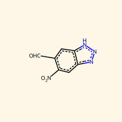 O=Cc1cc2[nH]nnc2cc1[N+](=O)[O-]